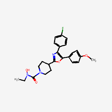 CCN(O)C(=O)N1CCC(c2nc(-c3ccc(F)cc3)c(-c3ccc(OC)cc3)o2)CC1